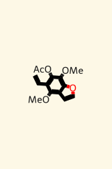 C=Cc1c(OC(C)=O)c(OC)c2occc2c1OC